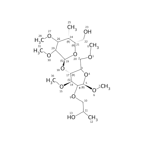 COCC1O[C@@H](OC)C(OCC(C)O)[C@@H](OC)[C@@H]1O[C@@H]1O[C@@H](CO)[C@@H](C)C(OC)C1OC